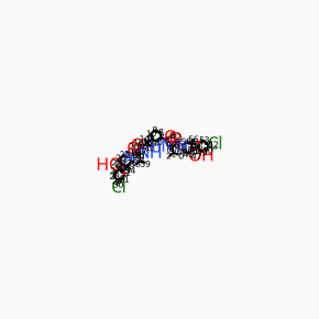 CC(C)[C@@H](NC(=O)c1cccc(C(C)(C)C(=O)N[C@@H](C(=O)N2CC[C@](O)(c3ccc(Cl)cc3)C(C)(C)C2)C(C)C)c1)C(=O)N1CC[C@](O)(c2ccc(Cl)cc2)C(C)(C)C1